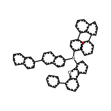 c1ccc(-c2cccc3c2oc2c(N(c4ccc(-c5cccc6cccc(-c7ccccc7)c56)cc4)c4ccc5cc(-c6ccc7ccccc7c6)ccc5c4)cccc23)cc1